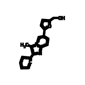 Cc1c(-c2ccccc2)nc2ccc(-c3ccc(CO)o3)cn12